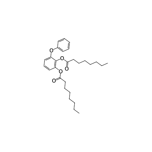 CCCCCCCC(=O)Oc1cccc(Oc2ccccc2)c1OC(=O)CCCCCCC